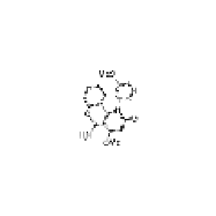 COc1cncc(-n2c(-c3ccccc3)c(C(N)=O)c(OC)cc2=O)c1